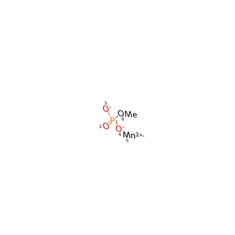 COP(=O)([O-])[O-].[Mn+2]